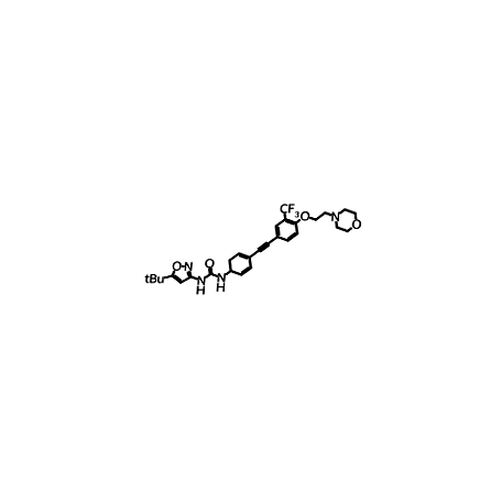 CC(C)(C)c1cc(NC(=O)NC2C=CC(C#Cc3ccc(OCCN4CCOCC4)c(C(F)(F)F)c3)=CC2)no1